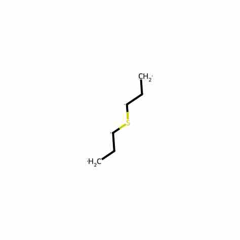 [CH2]C[CH]S[CH]C[CH2]